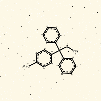 CCCSC(c1ccccc1)(c1ccccc1)c1ccc(OC)cc1